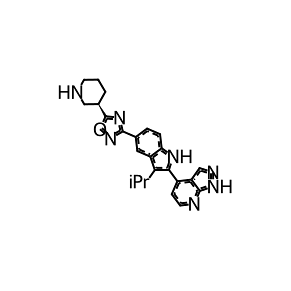 CC(C)c1c(-c2ccnc3[nH]ncc23)[nH]c2ccc(-c3noc([C@@H]4CCCNC4)n3)cc12